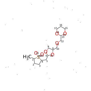 CC1CCC(CC2OCC(COCC3OCCCO3)O2)S1(=O)=O